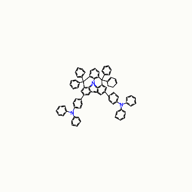 C1=CCCC(C2(c3ccccc3)c3cccc4c3-n3c5c2cc(-c2ccc(N(c6ccccc6)c6ccccc6)cc2)cc5c2cc(-c5ccc(N(c6ccccc6)c6ccccc6)cc5)cc(c23)C4(c2ccccc2)c2ccccc2)=C1